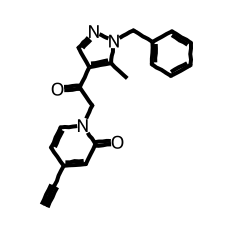 C#Cc1ccn(CC(=O)c2cnn(Cc3ccccc3)c2C)c(=O)c1